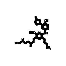 CC1CCN(c2cc(Nc3nc(C=O)c(CCN(C)CCNC=O)cc3CCCN)ncc2C#N)C1